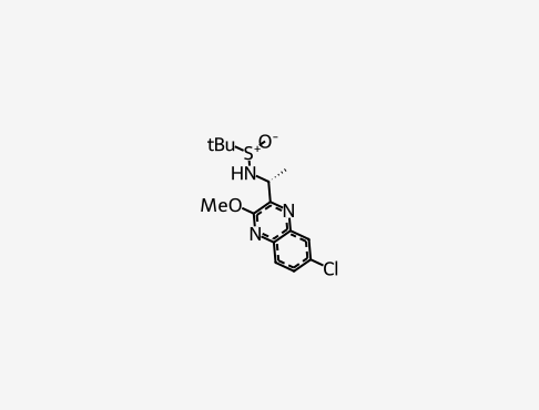 COc1nc2ccc(Cl)cc2nc1[C@@H](C)N[S+]([O-])C(C)(C)C